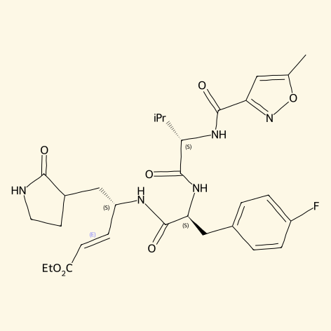 CCOC(=O)/C=C/[C@H](CC1CCNC1=O)NC(=O)[C@H](Cc1ccc(F)cc1)NC(=O)[C@@H](NC(=O)c1cc(C)on1)C(C)C